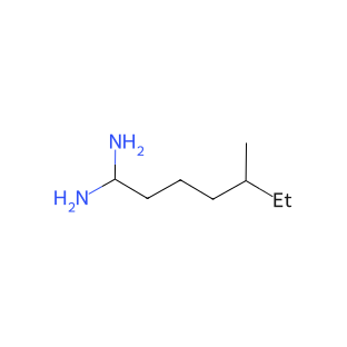 CCC(C)CCCC(N)N